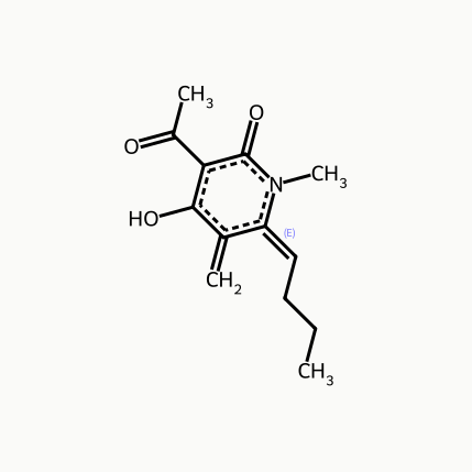 C=c1c(O)c(C(C)=O)c(=O)n(C)/c1=C/CCC